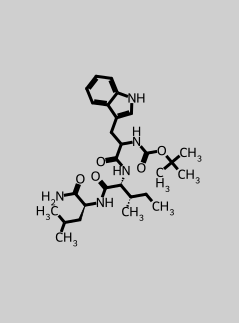 CC[C@H](C)[C@@H](NC(=O)C(Cc1c[nH]c2ccccc12)NC(=O)OC(C)(C)C)C(=O)N[C@@H](CC(C)C)C(N)=O